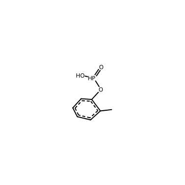 Cc1ccccc1O[PH](=O)O